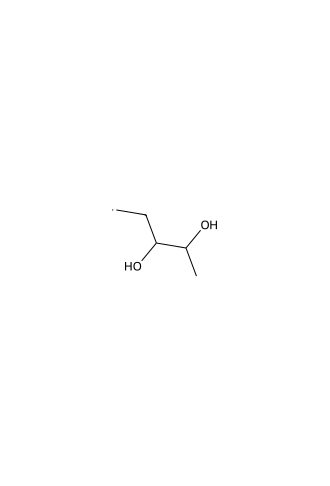 [CH2]CC(O)C(C)O